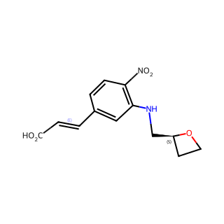 O=C(O)/C=C/c1ccc([N+](=O)[O-])c(NC[C@@H]2CCO2)c1